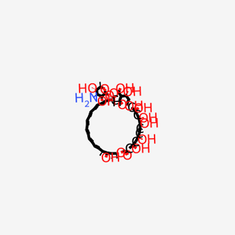 C[C@@H]1OC(=O)CC(O)C[C@H](O)CCC(O)[C@H](O)CC(O)CC2(O)C[C@H](O)C(C(=O)O)[C@H](C[C@@H](OC3O[C@H](C)[C@@H](O)[C@H](N)C3O)/C=C/C=C/C=C/C=C/C=C/C=C/C=C/[C@H](C)C(O)[C@H]1C)O2